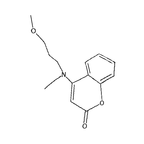 COCCCN(C)c1cc(=O)oc2ccccc12